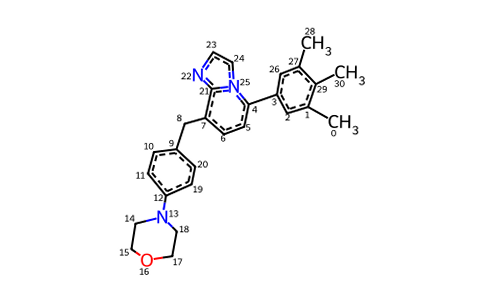 Cc1cc(-c2ccc(Cc3ccc(N4CCOCC4)cc3)c3nccn23)cc(C)c1C